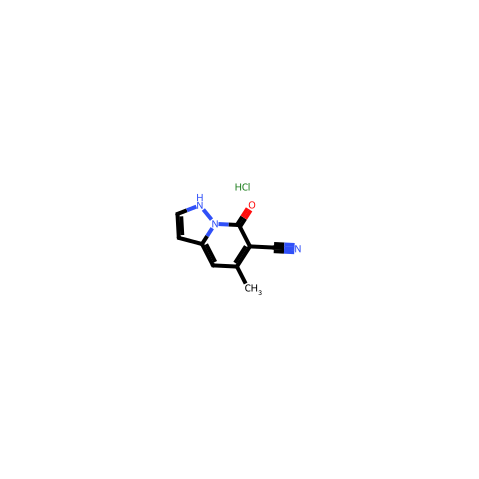 Cc1cc2cc[nH]n2c(=O)c1C#N.Cl